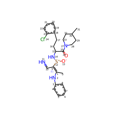 C/C(Nc1ccccc1)=C(/C=N)[S+]([O-])NC(CCc1ccccc1Cl)C(=O)N1CCC(C)CC1